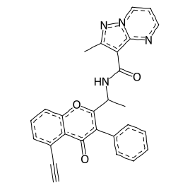 C#Cc1cccc2oc(C(C)NC(=O)c3c(C)nn4cccnc34)c(-c3ccccc3)c(=O)c12